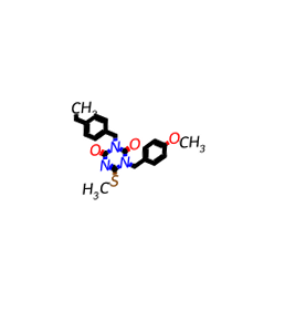 CCc1ccc(Cn2c(=O)nc(SC)n(Cc3ccc(OC)cc3)c2=O)cc1